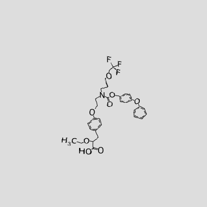 CCOC(Cc1ccc(OCCN(CCCOCC(F)(F)F)C(=O)Oc2ccc(Oc3ccccc3)cc2)cc1)C(=O)O